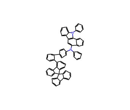 c1ccc(N(c2ccc(-c3ccccc3-c3cccc4c3-c3ccccc3C43c4ccccc4-c4ccccc43)cc2)c2cc3c4ccccc4n(-c4ccccc4)c3c3ccccc23)cc1